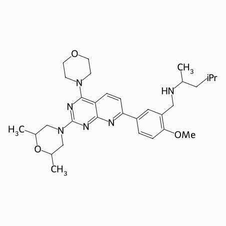 COc1ccc(-c2ccc3c(N4CCOCC4)nc(N4CC(C)OC(C)C4)nc3n2)cc1CNC(C)CC(C)C